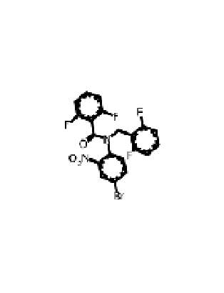 O=C(c1c(F)cccc1F)N(Cc1c(F)cccc1F)c1ccc(Br)cc1[N+](=O)[O-]